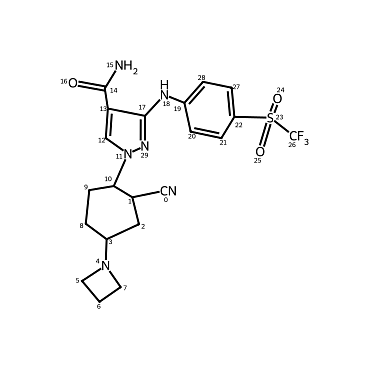 N#CC1CC(N2CCC2)CCC1n1cc(C(N)=O)c(Nc2ccc(S(=O)(=O)C(F)(F)F)cc2)n1